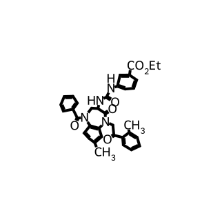 CCOC(=O)c1cccc(NC(=O)NC2CN(C(=O)c3ccccc3)c3ccc(C)cc3N(CC(=O)c3ccccc3C)C2=O)c1